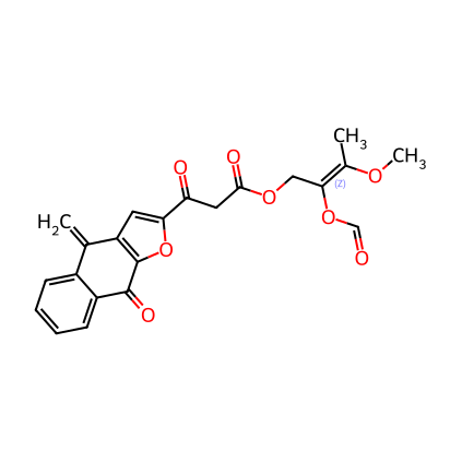 C=C1c2ccccc2C(=O)c2oc(C(=O)CC(=O)OC/C(OC=O)=C(\C)OC)cc21